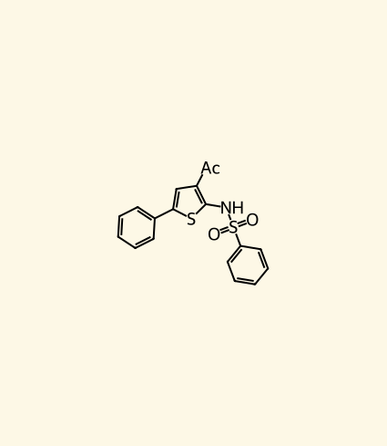 CC(=O)c1cc(-c2ccccc2)sc1NS(=O)(=O)c1ccccc1